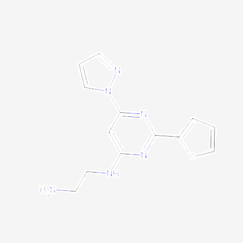 NCCNc1cc(-n2cccn2)nc(-c2cccs2)n1